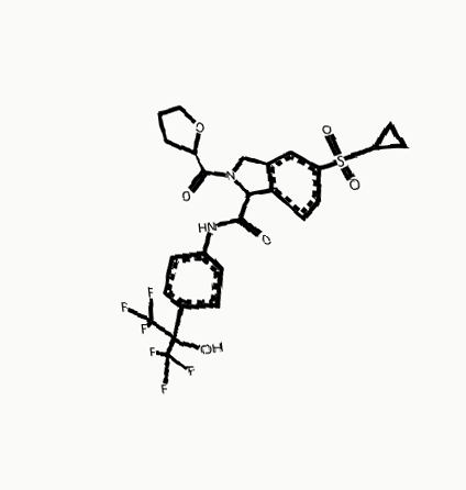 O=C(Nc1ccc(C(O)(C(F)(F)F)C(F)(F)F)cc1)C1c2ccc(S(=O)(=O)C3CC3)cc2CN1C(=O)[C@H]1CCCO1